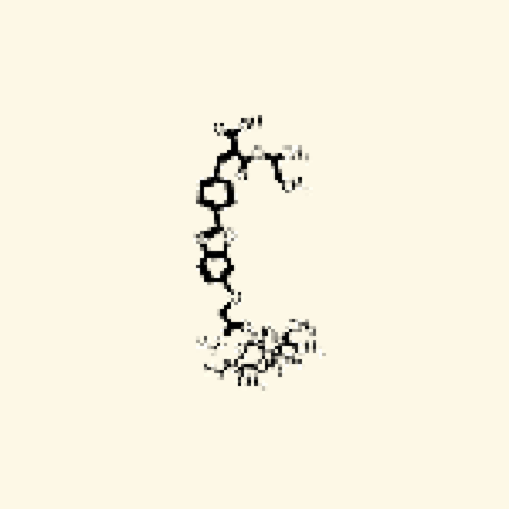 C=C(COc1ccc2nc(-c3ccc(C=C(C(=O)O)C(=O)OC(C)CC)cc3)oc2c1)O[Si](C)(O[Si](C)(C)C)O[Si](C)(C)C